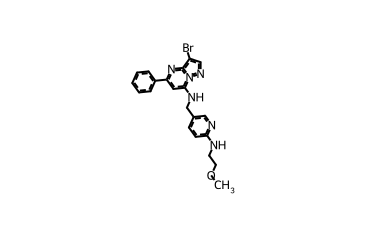 COCCNc1ccc(CNc2cc(-c3ccccc3)nc3c(Br)cnn23)cn1